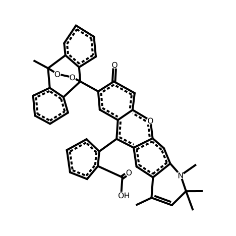 CC1=CC(C)(C)N(C)c2cc3oc4cc(=O)c(C56OOC(C)(c7ccccc75)c5ccccc56)cc-4c(-c4ccccc4C(=O)O)c3cc21